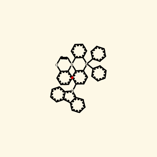 c1ccc([Si]2(c3ccccc3)c3ccccc3[Si]3(c4ccccc4Oc4ccccc43)c3cc(-n4c5ccccc5c5ccccc54)ccc32)cc1